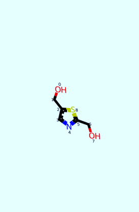 OCc1cnc(CO)s1